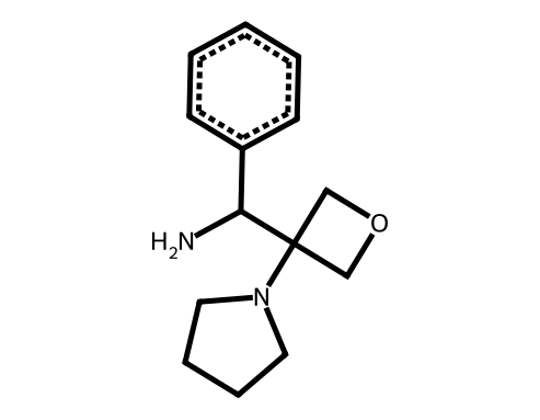 NC(c1ccccc1)C1(N2CCCC2)COC1